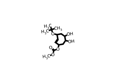 COC(=O)OC1/C=C/C(OC(C)(C)C)CC(O)C(O)C1